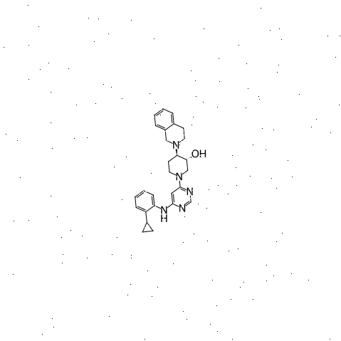 O[C@@H]1CN(c2cc(Nc3ccccc3C3CC3)ncn2)CC[C@H]1N1CCc2ccccc2C1